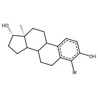 C[C@]12CCC3c4ccc(O)c(Br)c4CCC3C1CC[C@@H]2O